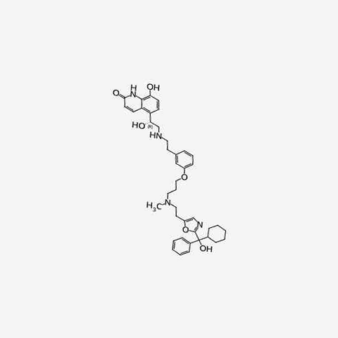 CN(CCCOc1cccc(CCNC[C@H](O)c2ccc(O)c3[nH]c(=O)ccc23)c1)CCc1cnc(C(O)(c2ccccc2)C2CCCCC2)o1